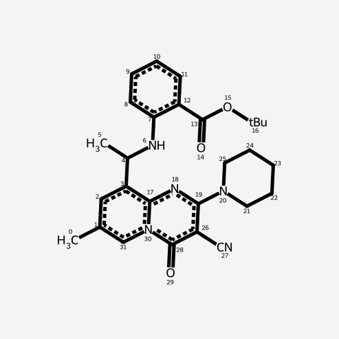 Cc1cc(C(C)Nc2ccccc2C(=O)OC(C)(C)C)c2nc(N3CCCCC3)c(C#N)c(=O)n2c1